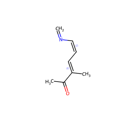 C=N/C=C\C=C(/C)C(C)=O